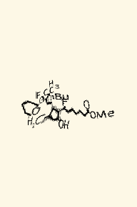 CCCCC(C)([C@@H](C=C[C@@H]1[C@@H](C(F)C=CCCCC(=O)OC)[C@@H](O)C[C@H]1C)OC1CCCCO1)C(F)(F)F